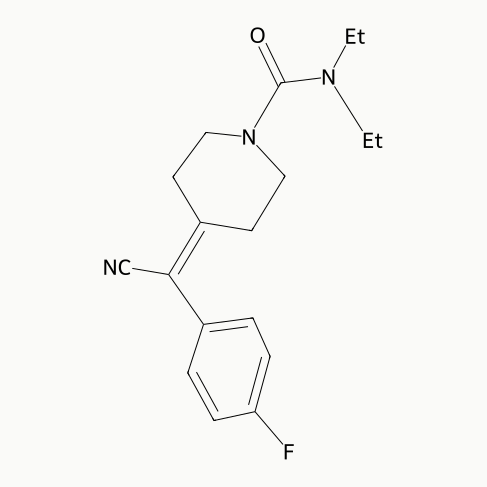 CCN(CC)C(=O)N1CCC(=C(C#N)c2ccc(F)cc2)CC1